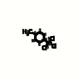 Cc1cc[c]([Sn]([Cl])([Cl])[Cl])cc1